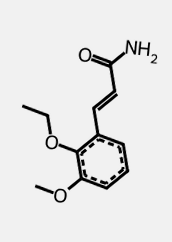 CCOc1c(C=CC(N)=O)cccc1OC